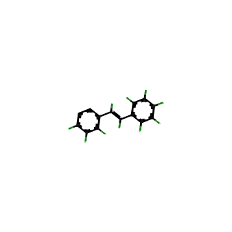 FC(=C(F)c1c(F)c(F)c(F)c(F)c1F)c1ccc(F)c(F)c1F